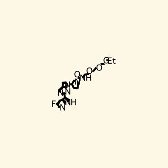 CCOCCOCCOCCNC(=O)N1CCCC(n2ccc3cnc(-c4c[nH]c5ncc(F)cc45)nc32)C1